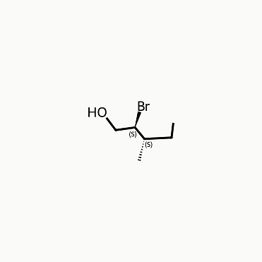 CC[C@H](C)[C@H](Br)CO